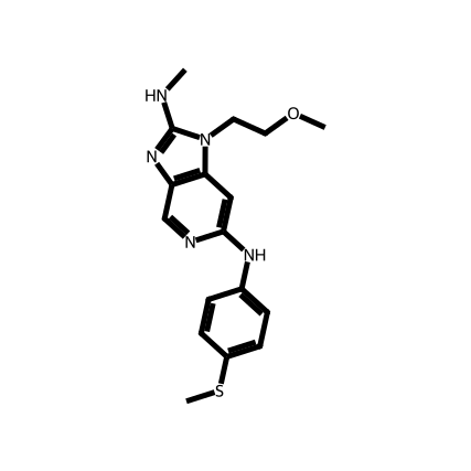 CNc1nc2cnc(Nc3ccc(SC)cc3)cc2n1CCOC